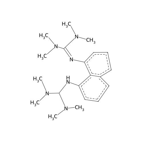 CN(C)C(=Nc1cccc2cccc(NC(N(C)C)N(C)C)c12)N(C)C